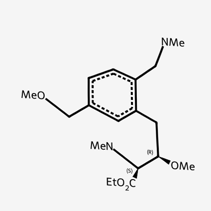 CCOC(=O)[C@@H](NC)[C@@H](Cc1cc(COC)ccc1CNC)OC